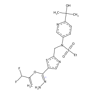 C=C(O/C(=N\N)c1cnc(CN(c2ccc(C(C)(C)O)nc2)S(=O)(=O)CC)s1)C(F)F